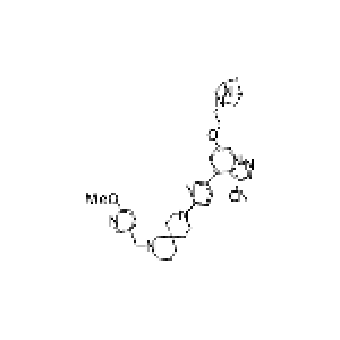 COc1ccc(CN2CCCC3(CCN(c4ccc(-c5cc(OCCN6CC7CC(C6)N7C)cn6ncc(C#N)c56)cn4)CC3)C2)cn1